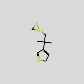 CC(C)(C[SH]1CS1)C1=CC[SH]=C1